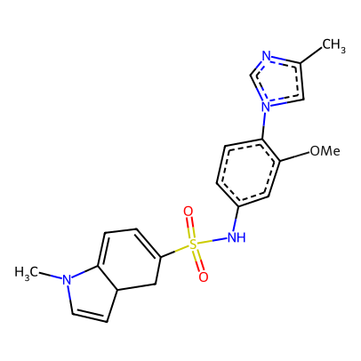 COc1cc(NS(=O)(=O)C2=CC=C3C(C=CN3C)C2)ccc1-n1cnc(C)c1